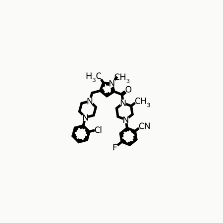 Cc1c(CN2CCN(c3ccccc3Cl)CC2)cc(C(=O)N2CCN(c3cc(F)ccc3C#N)CC2C)n1C